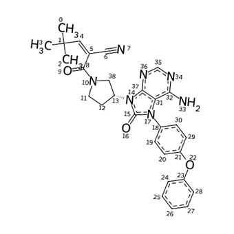 CC(C)(C)/C=C(/C#N)C(=O)N1CC[C@@H](n2c(=O)n(-c3ccc(Oc4ccccc4)cc3)c3c(N)ncnc32)C1